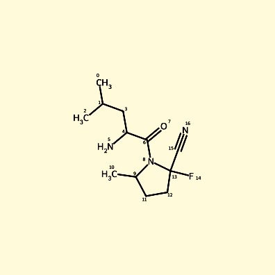 CC(C)CC(N)C(=O)N1C(C)CCC1(F)C#N